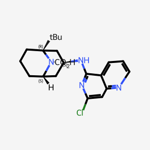 CC(C)(C)[C@@]12CCC[C@@H](C[C@H](Nc3nc(Cl)cc4ncccc34)C1)N2C(=O)O